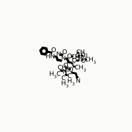 CC[C@H](OCP(=O)(OC)OC)[C@@H](OP(OCCC#N)N(C(C)C)C(C)C)[C@@H](OC)n1ccc(NC(=O)c2ccccc2)nc1=O